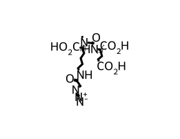 CN(C(=O)N[C@@H](CCC(=O)O)C(=O)O)[C@@H](CCCCNC(=O)CN=[N+]=[N-])C(=O)O